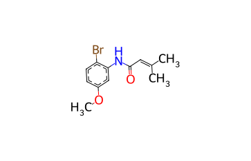 COc1ccc(Br)c(NC(=O)C=C(C)C)c1